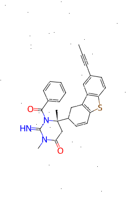 CC#Cc1ccc2sc3c(c2c1)CC([C@]1(C)CC(=O)N(C)C(=N)N1C(=O)c1ccccc1)C=C3